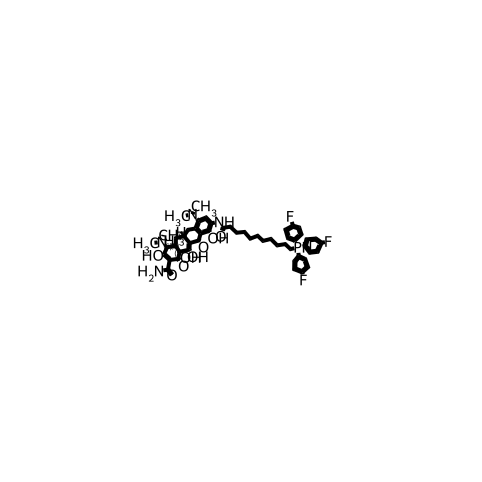 CN(C)c1cc(NC(=O)CCCCCCCCCC[PH](c2ccc(F)cc2)(c2ccc(F)cc2)c2ccc(F)cc2)c(O)c2c1C[C@H]1C[C@H]3[C@H](N(C)C)C(O)=C(C(N)=O)C(=O)[C@@]3(O)C(O)=C1C2=O